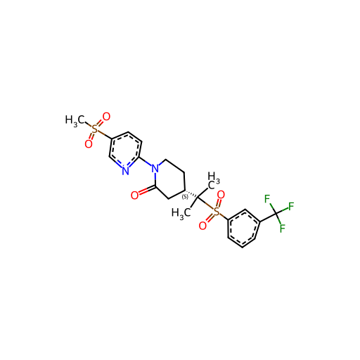 CC(C)([C@H]1CCN(c2ccc(S(C)(=O)=O)cn2)C(=O)C1)S(=O)(=O)c1cccc(C(F)(F)F)c1